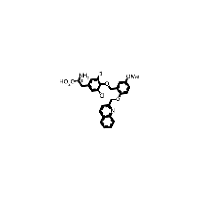 COc1ccc(OCc2ccc3ccccc3n2)c(COc2c(Cl)cc(C[C@H](N)C(=O)O)cc2Cl)c1